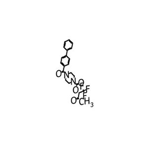 CC(=O)C(OC(=O)N1CCN(C(=O)c2ccc(-c3ccccc3)cc2)CC1)C(F)(F)F